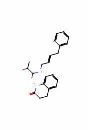 CC(O)C(NCC=CCc1ccccc1)ON1C(=O)CCc2ccccc21